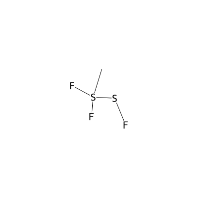 CS(F)(F)SF